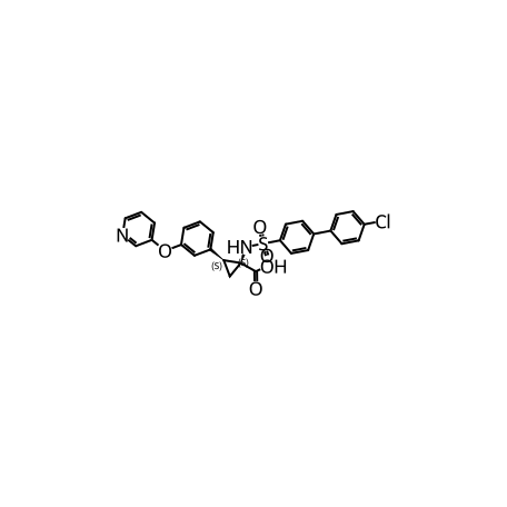 O=C(O)[C@]1(NS(=O)(=O)c2ccc(-c3ccc(Cl)cc3)cc2)C[C@H]1c1cccc(Oc2cccnc2)c1